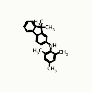 Cc1cc(C)c(Nc2ccc3c(c2)C(C)(C)c2ccccc2-3)c(C)c1